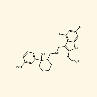 COc1cccc(C2(O)CCCCC2CNCc2c(OC(=O)O)[nH]c3cc(Cl)cc(Cl)c23)c1